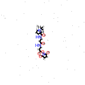 [2H]C(C)(C)N1CCCC1([2H])C(=O)NCCC(=O)NCCC(=O)ON1C(=O)CCC1=O